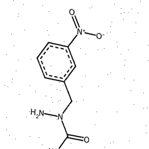 NN(Cc1cccc([N+](=O)[O-])c1)C(=O)O